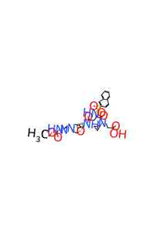 CCOC(=O)NN=CN1CCO[C@@H](CNC(=O)CC(NS(=O)(=O)c2ccc3ccccc3c2)C(=O)N(CCC(=O)O)C2CC2)C1